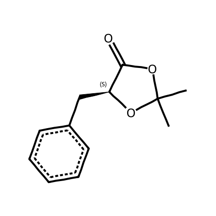 CC1(C)OC(=O)[C@H](Cc2ccccc2)O1